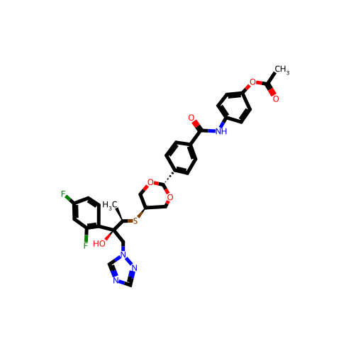 CC(=O)Oc1ccc(NC(=O)c2ccc([C@H]3OC[C@H](S[C@H](C)[C@](O)(Cn4cncn4)c4ccc(F)cc4F)CO3)cc2)cc1